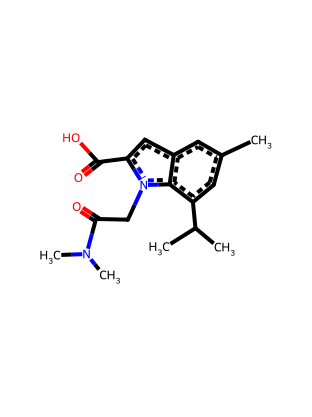 Cc1cc(C(C)C)c2c(c1)cc(C(=O)O)n2CC(=O)N(C)C